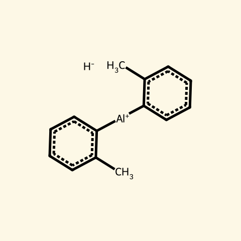 Cc1cccc[c]1[Al+][c]1ccccc1C.[H-]